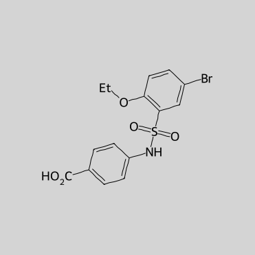 CCOc1ccc(Br)cc1S(=O)(=O)Nc1ccc(C(=O)O)cc1